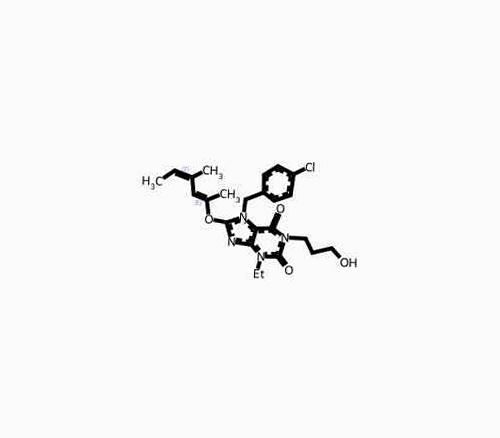 C/C=C(C)\C=C(/C)Oc1nc2c(c(=O)n(CCCO)c(=O)n2CC)n1Cc1ccc(Cl)cc1